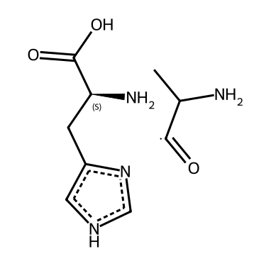 CC(N)[C]=O.N[C@@H](Cc1c[nH]cn1)C(=O)O